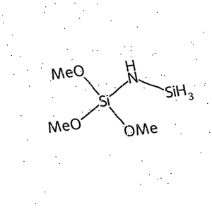 CO[Si](N[SiH3])(OC)OC